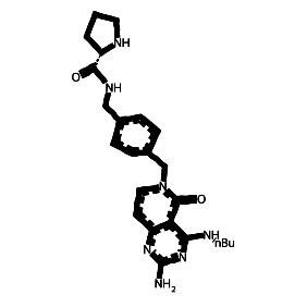 CCCCNc1nc(N)nc2ccn(Cc3ccc(CNC(=O)[C@@H]4CCCN4)cc3)c(=O)c12